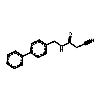 N#CCC(=O)NCc1ccc(-c2ccccc2)cc1